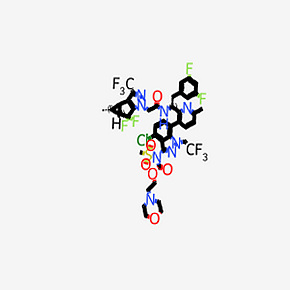 Cc1ccc(-c2ccc(Cl)c3c(N(C(=O)OCCN4CCOCC4)S(C)(=O)=O)nn(CC(F)(F)F)c23)c([C@H](Cc2cc(F)cc(F)c2)NC(=O)Cn2nc(C(F)(F)F)c3c2C(F)(F)[C@H]2C3[C@H]2C)n1